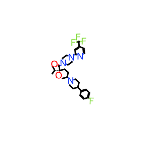 CC(C)[C@]1(C(=O)N2CCN(c3cc(C(F)(F)F)ccn3)CC2)CC[C@@H](N2CCC(c3ccc(F)cc3)CC2)CO1